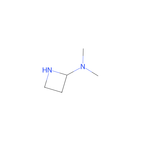 CN(C)C1CCN1